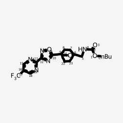 CCCCOC(=O)NCC12CCC(c3nc(-c4ncc(C(F)(F)F)cn4)no3)(CC1)CC2